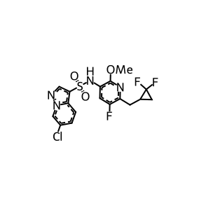 COc1nc(CC2CC2(F)F)c(F)cc1NS(=O)(=O)c1cnn2cc(Cl)ccc12